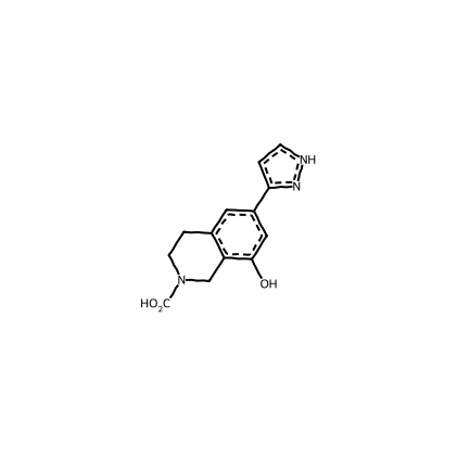 O=C(O)N1CCc2cc(-c3cc[nH]n3)cc(O)c2C1